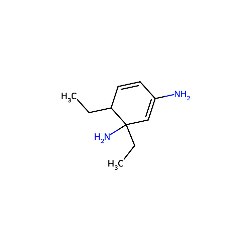 CCC1C=CC(N)=CC1(N)CC